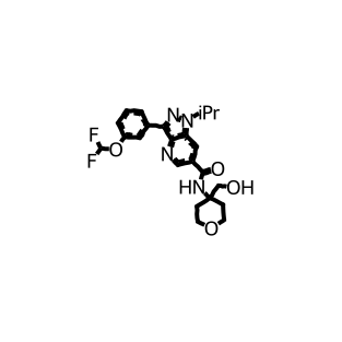 CC(C)n1nc(-c2cccc(OC(F)F)c2)c2ncc(C(=O)NC3(CO)CCOCC3)cc21